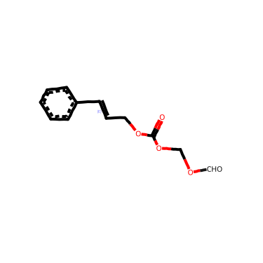 O=COCOC(=O)OC/C=C/c1ccccc1